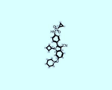 N#Cc1c(-c2ccc(NS(=O)(=O)C3CC3)cc2)n(C2CCC2)c2cc(ON3CCCCC3)ccc12